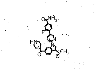 C[S+]([O-])c1cn(-c2ncc(-c3ccc(C(N)=O)cc3F)cn2)c2cc(C(=O)N3CCNCC3)ccc12